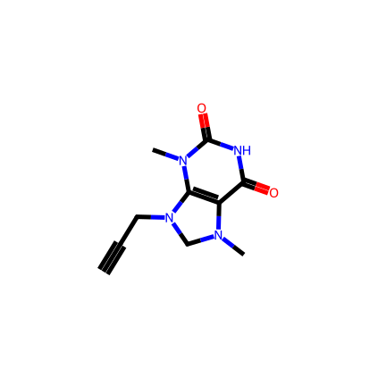 C#CCN1CN(C)c2c1n(C)c(=O)[nH]c2=O